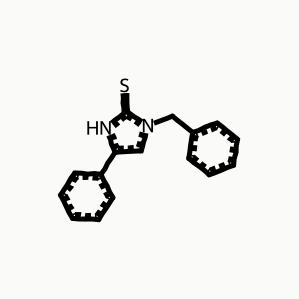 S=c1[nH]c(-c2ccccc2)cn1Cc1ccccc1